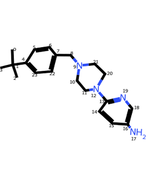 CC(C)(C)c1ccc(CN2CCN(c3ccc(N)cn3)CC2)cc1